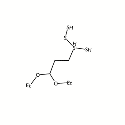 CCOC(CC[SH](S)SS)OCC